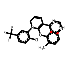 [CH]c1ccc(C)c(OC2=C(c3ccncn3)C=CCN2c2cc(C(F)(F)F)ccc2Cl)c1